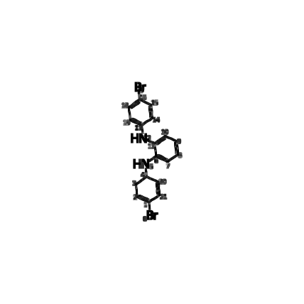 BrC1=CCC(Nc2ccccc2Nc2ccc(Br)cc2)C=C1